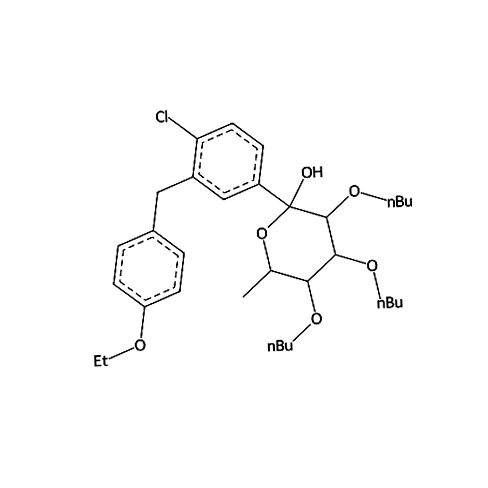 CCCCOC1C(C)OC(O)(c2ccc(Cl)c(Cc3ccc(OCC)cc3)c2)C(OCCCC)C1OCCCC